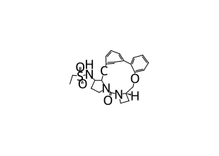 CCS(=O)(=O)NC1CCN2C(=O)N3CC[C@H]3COc3ccccc3-c3cccc(c3)CC12